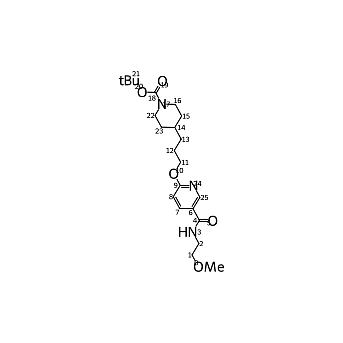 COCCNC(=O)c1ccc(OCCCC2CCN(C(=O)OC(C)(C)C)CC2)nc1